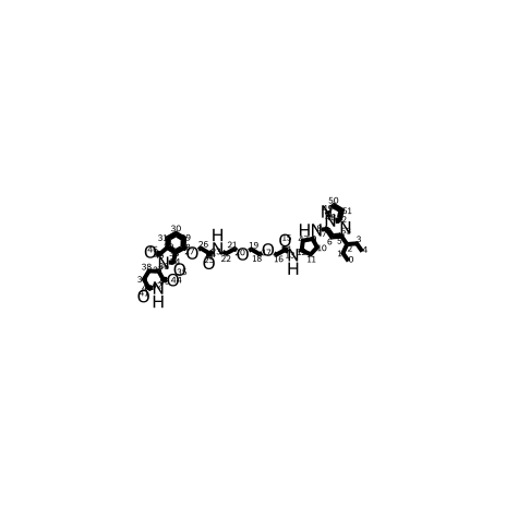 CCC(CC)c1cc(N[C@H]2CC[C@H](NC(=O)COCCOCCNC(=O)COc3cccc4c3C(=O)N(C3CCC(=O)NC3=O)C4=O)C2)n2nccc2n1